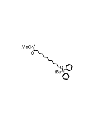 CON(C)C(=O)CCCCCCCCCCO[Si](c1ccccc1)(c1ccccc1)C(C)(C)C